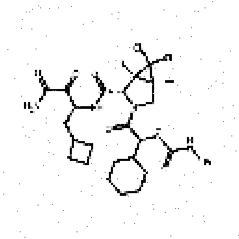 CC(C)(C)NC(=O)N[C@H](C(=O)N1C[C@H]2[C@@H]([C@H]1C(=O)N[C@@H](CC1CCC1)C(=O)C(N)=O)C2(Cl)Cl)C1CCCCC1